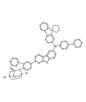 c1ccc(-c2ccc(N(c3ccc4c(c3)C3(CCCC3)c3ccccc3-4)c3ccc4sc5cc(-c6ccc7c(c6)-c6ccccc6[C@]76[C@@H]7CC8C[C@@H](C7)C[C@@H]6C8)ccc5c4c3)cc2)cc1